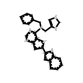 C1=C(CN(Cc2ccccc2)c2ncnc3cc(-c4cc5ccccc5o4)sc23)OCO1